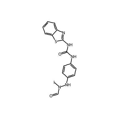 O=CN(I)Nc1ccc(NC(=O)Nc2nc3ccccc3s2)cc1